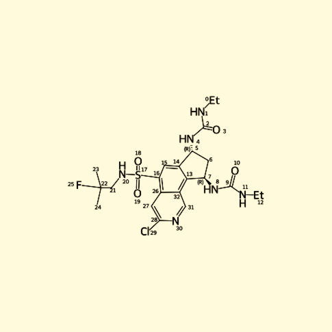 CCNC(=O)N[C@@H]1C[C@@H](NC(=O)NCC)c2c1cc(S(=O)(=O)NCC(C)(C)F)c1cc(Cl)ncc21